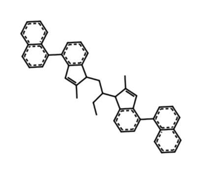 CCC(CC1C(C)=Cc2c(-c3cccc4ccccc34)cccc21)C1C(C)=Cc2c(-c3cccc4ccccc34)cccc21